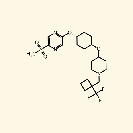 CS(=O)(=O)c1cnc(O[C@H]2CC[C@H](OC3CCN(CC4(C(F)(F)F)CCC4)CC3)CC2)cn1